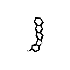 Brc1ccc2oc3cc4cc5ccccc5cc4cc3c2c1